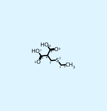 CCSCC(C(=O)O)C(=O)O